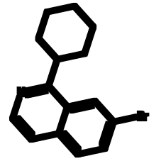 Brc1ccc2ccnc(C3CCCCC3)c2c1